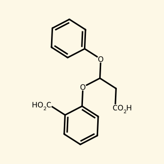 O=C(O)CC(Oc1ccccc1)Oc1ccccc1C(=O)O